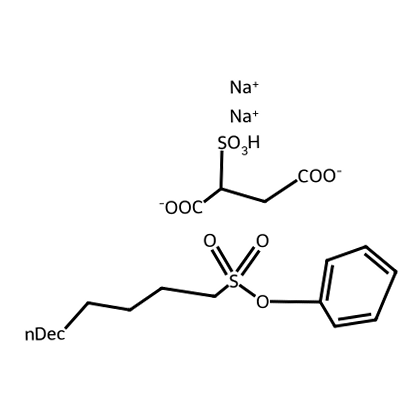 CCCCCCCCCCCCCCS(=O)(=O)Oc1ccccc1.O=C([O-])CC(C(=O)[O-])S(=O)(=O)O.[Na+].[Na+]